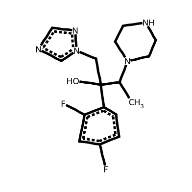 CC(N1CCNCC1)C(O)(Cn1cncn1)c1ccc(F)cc1F